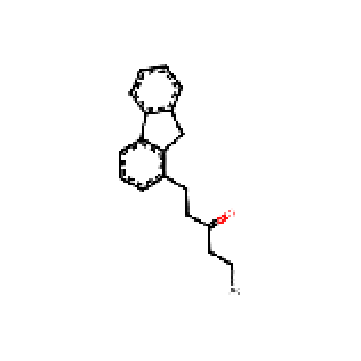 CC(=O)CCC(=O)CCc1cccc2c1Cc1ccccc1-2